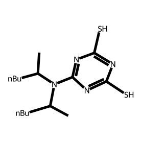 CCCCC(C)N(c1nc(S)nc(S)n1)C(C)CCCC